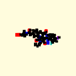 Cc1c(=O)n(C)c(Nc2ccc(I)cc2F)c2c(=O)n(C)c(=O)n(-c3cccc(CC(=O)N4CC(O)C4)c3)c12